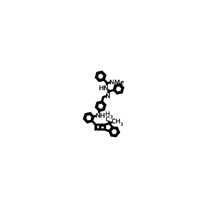 CNC(N/C(=N\Cc1ccc(Nc2ccccc2C2=CC3C2=C2C3c3ccccc3C2(C)C)cc1)c1ccccc1)c1ccccc1